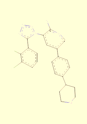 Nc1ncc(-c2ccc(C3CCNCC3)cc2)cc1-n1nnnc1-c1cccc(F)c1F